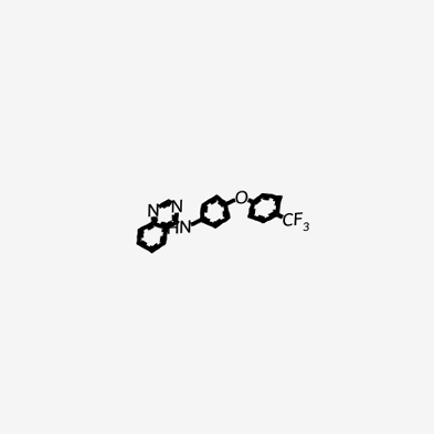 FC(F)(F)c1ccc(Oc2ccc(Nc3ncnc4ccccc34)cc2)cc1